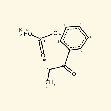 CCC(=O)c1ccccc1.O=S([O-])O.[K+]